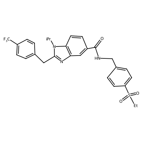 CCS(=O)(=O)c1ccc(CNC(=O)c2ccc3c(c2)nc(Cc2ccc(C(F)(F)F)cc2)n3C(C)C)cc1